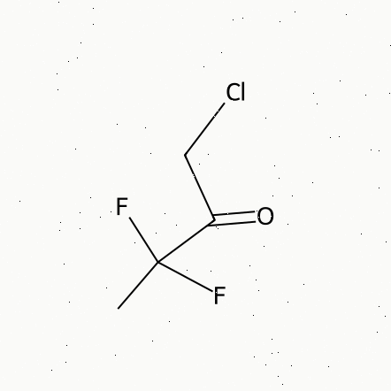 CC(F)(F)C(=O)CCl